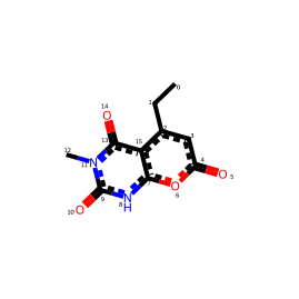 CCc1cc(=O)oc2[nH]c(=O)n(C)c(=O)c12